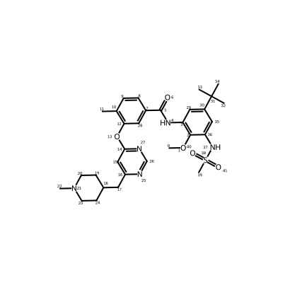 COc1c(NC(=O)c2ccc(C)c(Oc3cc(CC4CCN(C)CC4)ncn3)c2)cc(C(C)(C)C)cc1NS(C)(=O)=O